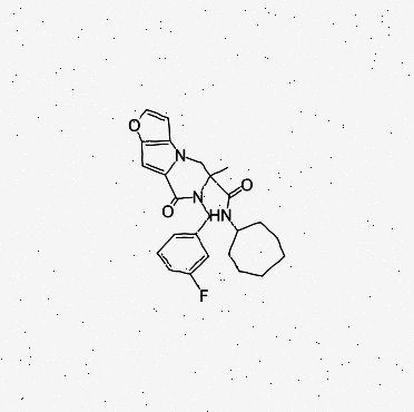 CC1(C(=O)NC2CCCCCC2)Cn2c(cc3occc32)C(=O)N1Cc1cccc(F)c1